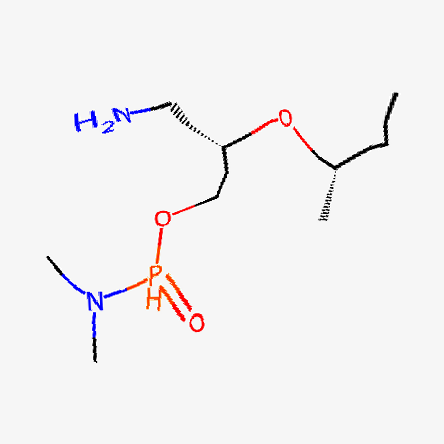 CC[C@H](C)O[C@@H](CN)CO[PH](=O)N(C)C